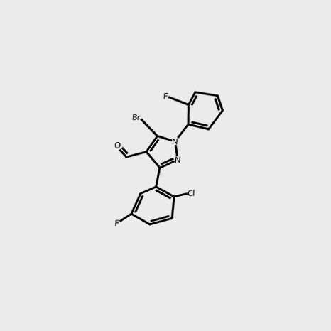 O=Cc1c(-c2cc(F)ccc2Cl)nn(-c2ccccc2F)c1Br